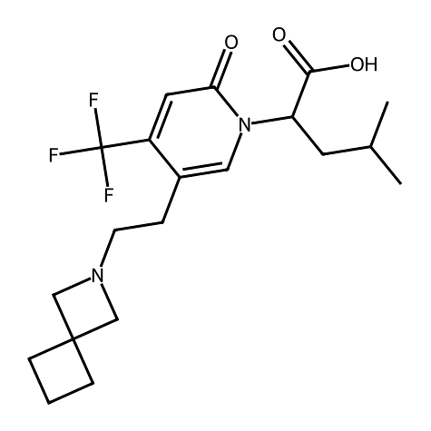 CC(C)CC(C(=O)O)n1cc(CCN2CC3(CCC3)C2)c(C(F)(F)F)cc1=O